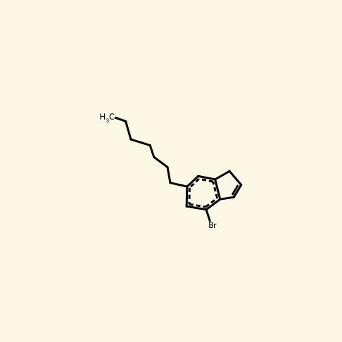 CCCCCCCc1cc(Br)c2c(c1)CC=C2